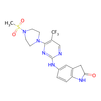 CS(=O)(=O)N1CCN(c2nc(Nc3ccc4c(c3)CC(=O)N4)ncc2C(F)(F)F)CC1